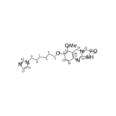 COc1c(OCCCCCCn2ccnc2)ccc2c1CN1CC(=O)NC1=N2